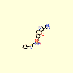 Cn1cc(-c2cnc3ccc4ccc(CS(=O)(=O)NCc5cnc(-c6ccccc6)s5)cc4c(=O)c3c2)cn1